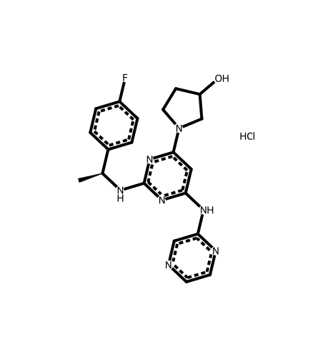 C[C@H](Nc1nc(Nc2cnccn2)cc(N2CCC(O)C2)n1)c1ccc(F)cc1.Cl